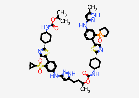 Cc1cc(Nc2ccc(-c3cnc([C@H]4CC[C@H](NC(=O)OC(C)CCc5cc(Nc6ccc(-c7cnc([C@H]8CC[C@H](NC(=O)OC(C)C)CC8)s7)c(S(=O)(=O)C7CC7)c6)n[nH]5)CC4)s3)c(P3(=O)CCCC3)c2)n[nH]1